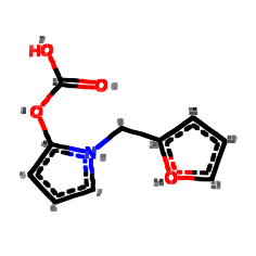 O=C(O)Oc1cccn1Cc1ccco1